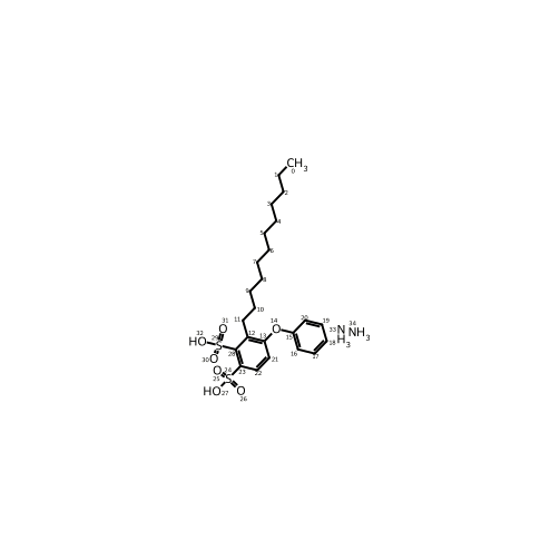 CCCCCCCCCCCCc1c(Oc2ccccc2)ccc(S(=O)(=O)O)c1S(=O)(=O)O.N.N